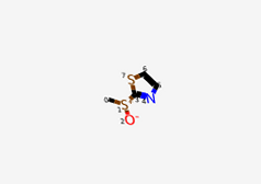 C[S+]([O-])c1nccs1